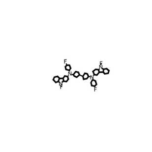 Fc1ccc(N(c2ccc(-c3ccc(N(c4ccc(F)cc4)c4ccc5c(c4)c4ccccc4n5F)cc3)cc2)c2ccc3c(c2)c2ccccc2n3F)cc1